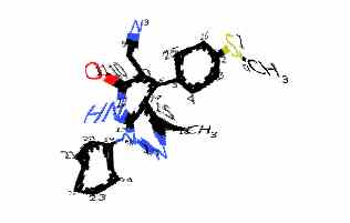 CSc1ccc(-c2c(C#N)c(=O)[nH]c3c2c(C)nn3-c2ccccc2)cc1